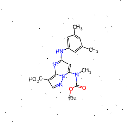 Cc1cc(C)cc(Nc2cc(N(C)C(=O)OC(C)(C)C)n3ncc(C(=O)O)c3n2)c1